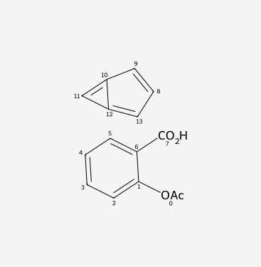 CC(=O)Oc1ccccc1C(=O)O.c1cc2cc-2c1